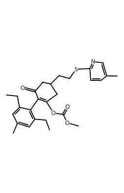 CCc1cc(C)cc(CC)c1C1=C(OC(=O)OC)CC(CCSc2ccc(C)cn2)CC1=O